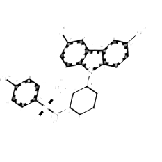 O=S(=O)(N[C@@H]1CCC[C@H](n2c3ccc(Br)cc3c3cc(Br)ccc32)[C@H]1O)c1ccc(Cl)cc1